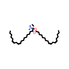 CCCCC/C=C\C/C=C\CCCCCCCCO[C@@](CC)(C(=O)CCCCCCC/C=C\C/C=C\CCCCC)N(C)C